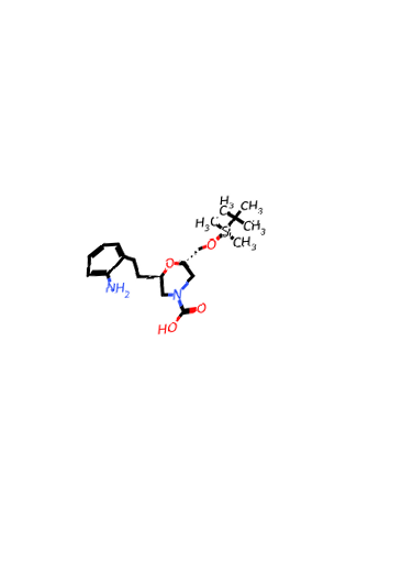 CC(C)(C)[Si](C)(C)OC[C@@H]1CN(C(=O)O)C[C@@H](CCc2ccccc2N)O1